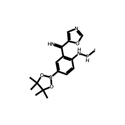 CC1(C)OB(c2ccc(NPI)c(C(=N)c3cnco3)c2)OC1(C)C